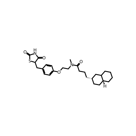 CN(CCOc1ccc(CC2SC(=O)NC2=O)cc1)C(=O)CCC[C@H]1CC[C@H]2CCCCC2C1